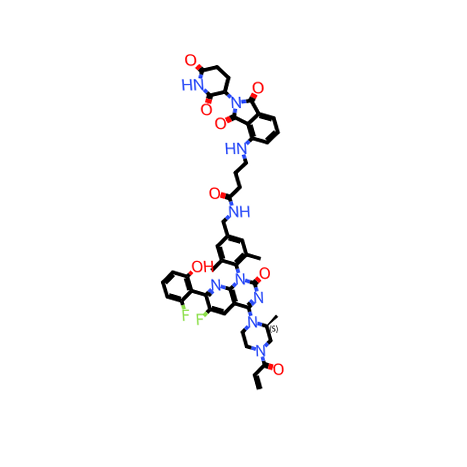 C=CC(=O)N1CCN(c2nc(=O)n(-c3c(C)cc(CNC(=O)CCCNc4cccc5c4C(=O)N(C4CCC(=O)NC4=O)C5=O)cc3C)c3nc(-c4c(O)cccc4F)c(F)cc23)[C@@H](C)C1